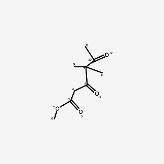 COC(=O)CC(=O)C(C)(C)C(C)=O